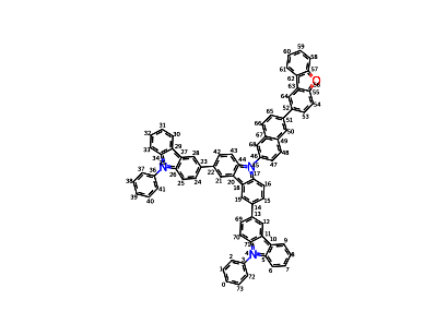 c1ccc(-n2c3ccccc3c3cc(-c4ccc5c(c4)c4cc(-c6ccc7c(c6)c6ccccc6n7-c6ccccc6)ccc4n5-c4ccc5cc(-c6ccc7oc8ccccc8c7c6)ccc5c4)ccc32)cc1